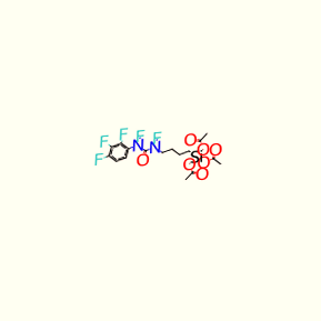 CC(=O)O[Si](CCCCN(F)C(=O)N(F)c1ccc(F)c(F)c1F)(OC(C)=O)OC(C)=O